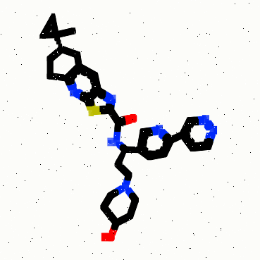 CC1([C@H]2CCc3nc4sc(C(=O)N[C@H](CCN5CCC(O)CC5)c5ccc(-c6ccnnc6)nc5)nc4cc3C2)CC1